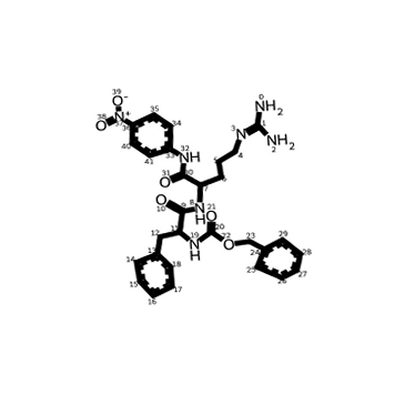 NC(N)=NCCCC(NC(=O)C(Cc1ccccc1)NC(=O)OCc1ccccc1)C(=O)Nc1ccc([N+](=O)[O-])cc1